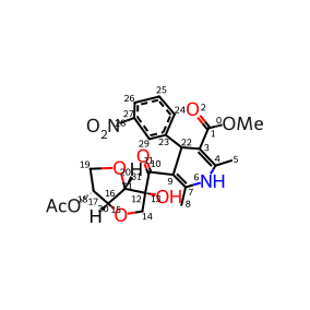 COC(=O)C1=C(C)NC(C)=C(C(=O)[C@]2(O)CO[C@@H]3[C@H](OC(C)=O)CO[C@@H]32)C1c1cccc([N+](=O)[O-])c1